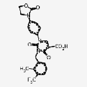 Cc1c(Cn2c(=O)c(C(=O)O)cn(-c3ccc(N4CCOC4=O)cc3)c2=O)cccc1C(F)(F)F